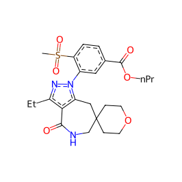 CCCOC(=O)c1ccc(S(C)(=O)=O)c(-n2nc(CC)c3c2CC2(CCOCC2)CNC3=O)c1